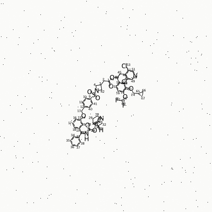 O=C(CC1CN(S(=O)(=O)c2ccc(COc3cccc([C@@H](NC(=O)O[C@H]4CN5CCC4CC5)c4ccccc4)c3)cc2)C1)O[C@@H](Cc1c(Cl)cncc1Cl)c1ccc(OC(F)F)c(OCC2CC2)c1